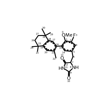 COc1c(F)cc(CC2NC(=O)NC2=O)cc1-c1cc2c(cc1C)C(C)(C)CCC2(C)C